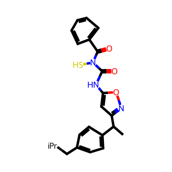 CC(C)Cc1ccc(C(C)c2cc(NC(=O)N(S)C(=O)c3ccccc3)on2)cc1